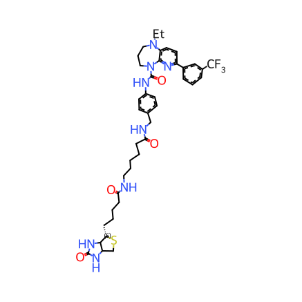 CCN1CCCN(C(=O)Nc2ccc(CNC(=O)CCCCCNC(=O)CCCC[C@@H]3SCC4NC(=O)NC43)cc2)c2nc(-c3cccc(C(F)(F)F)c3)ccc21